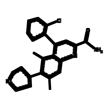 Cc1cc2nc(C(N)=O)cc(-c3ccccc3Cl)c2c(C)c1-c1ccncc1